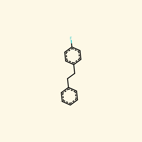 Fc1ccc(CCc2c[c]ccc2)cc1